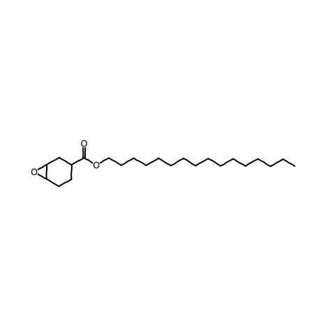 CCCCCCCCCCCCCCCCOC(=O)C1CCC2OC2C1